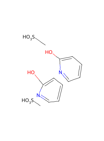 CS(=O)(=O)O.CS(=O)(=O)O.Oc1ccccn1.Oc1ccccn1